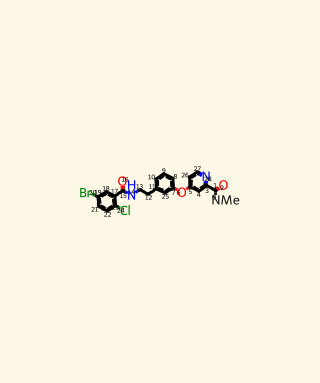 CNC(=O)c1cc(Oc2cccc(CCNC(=O)c3cc(Br)ccc3Cl)c2)ccn1